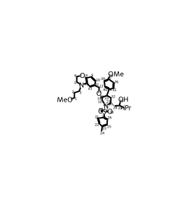 COCCCN1CCOc2ccc(CO[C@H]3CN(S(=O)(=O)c4ccc(C)cc4)[C@@H](CC(O)C(C)C)CC3c3ccc(OC)cc3)cc21